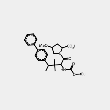 COC1CC(C(=O)O)N(C(=O)C(NC(=O)OC(C)(C)C)C(C)(C)C(C)c2ccc(-c3ccccc3)cc2)C1